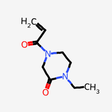 C=CC(=O)N1CCN(CC)C(=O)C1